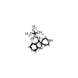 CC(C)(C)[S+]([O-])/N=C1\c2ccncc2OC12CCNCC2